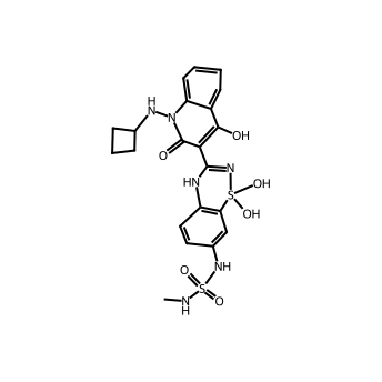 CNS(=O)(=O)Nc1ccc2c(c1)S(O)(O)N=C(c1c(O)c3ccccc3n(NC3CCC3)c1=O)N2